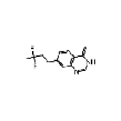 C=C1NC=Nc2cc(CCC(C)(F)F)ccc21